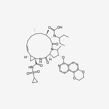 CCC(CC)N(C(=O)O)[C@@H]1C(=O)N2C(C)[C@H](Oc3nccc4c5c(ccc34)OCCO5)C[C@H]2C(=O)N[C@]2(C(=O)NS(=O)(=O)C3CC3)C[C@H]2/C=C\CC[C@H](C)C[C@H]1C